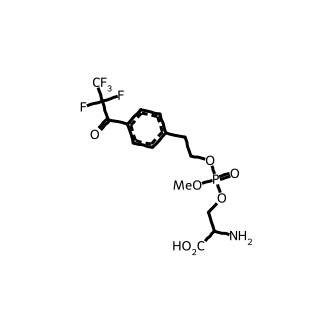 COP(=O)(OCCc1ccc(C(=O)C(F)(F)C(F)(F)F)cc1)OCC(N)C(=O)O